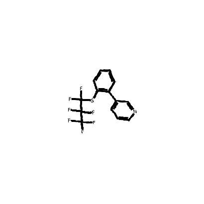 FC(F)(F)C(F)(F)C(F)(F)Sc1ccc[c]c1-c1cccnc1